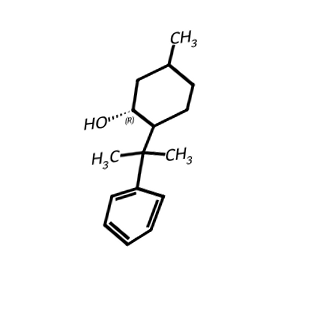 CC1CCC(C(C)(C)c2ccccc2)[C@H](O)C1